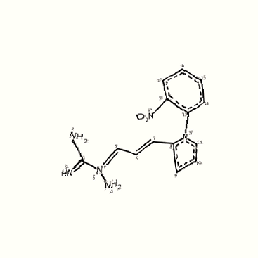 N=C(N)[N+](N)=CC=Cc1cccn1-c1ccccc1[N+](=O)[O-]